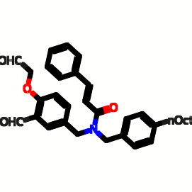 CCCCCCCCc1ccc(CN(Cc2ccc(OCC=O)c(C=O)c2)C(=O)/C=C/c2ccccc2)cc1